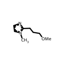 COCCCc1nccn1C